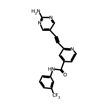 Nc1ncc(C#Cc2cc(C(=O)Nc3cccc(C(F)(F)F)c3)ccn2)cn1